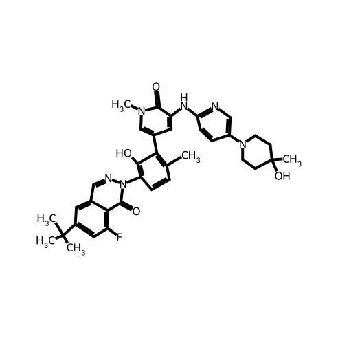 Cc1ccc(-n2ncc3cc(C(C)(C)C)cc(F)c3c2=O)c(O)c1-c1cc(Nc2ccc(N3CCC(C)(O)CC3)cn2)c(=O)n(C)c1